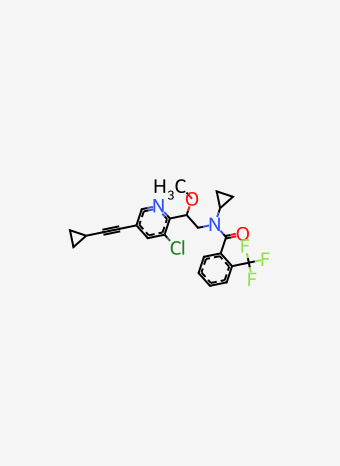 COC(CN(C(=O)c1ccccc1C(F)(F)F)C1CC1)c1ncc(C#CC2CC2)cc1Cl